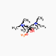 C=C(CCCOP)C(=O)O.CCCC[N+](CCCC)(CCCC)CCCC.CCCC[N+](CCCC)(CCCC)CCCC